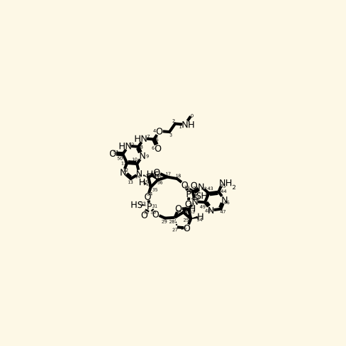 CNCCOC(=O)Nc1nc2c(ncn2[C@@H]2OC3CO[P@](=O)(S)O[C@H]4[C@H]5OC[C@]4(CO[P@](=O)(S)O[C@@H]2[C@@H]3F)O[C@H]5n2cnc3c(N)ncnc32)c(=O)[nH]1